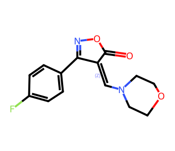 O=C1ON=C(c2ccc(F)cc2)/C1=C/N1CCOCC1